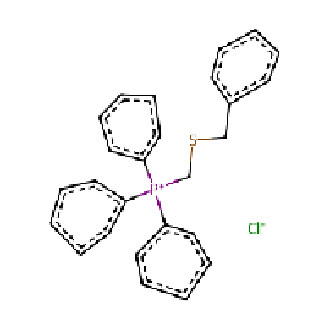 [Cl-].c1ccc(CSC[P+](c2ccccc2)(c2ccccc2)c2ccccc2)cc1